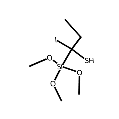 CCC(S)(I)[Si](OC)(OC)OC